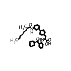 CCCCCCC(C)C(=O)Nc1cccc(-c2ccc(CC(Nc3ccccc3C(=O)c3ccccc3)C(=O)O)cc2)c1